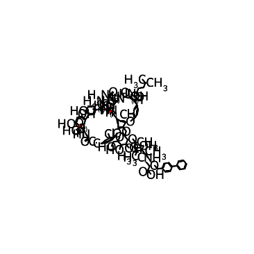 CC(C)CCC(=O)NC1C(=O)N[C@@H](CC(N)=O)C(=O)N[C@H]2C(=O)N[C@@H](C(N)=O)c3ccc(O)c(c3)-c3c(O)cc(O)cc3[C@H](C(=O)O)NC(=O)CCc3ccc(c(Cl)c3)Oc3cc2cc(c3OC2OC(CO)C(O)C(O)C2OC(C)OC(C)C(O)C(C)(C)NCC(OCc2ccc(-c3ccccc3)cc2)C(=O)O)Oc2ccc(cc2Cl)[C@H]1O